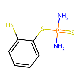 NP(N)(=S)Sc1ccccc1S